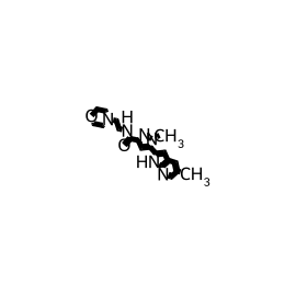 Cc1cnc2[nH]c(-c3cc(C(=O)NCCN4CCOCC4)nn3C)cc2c1